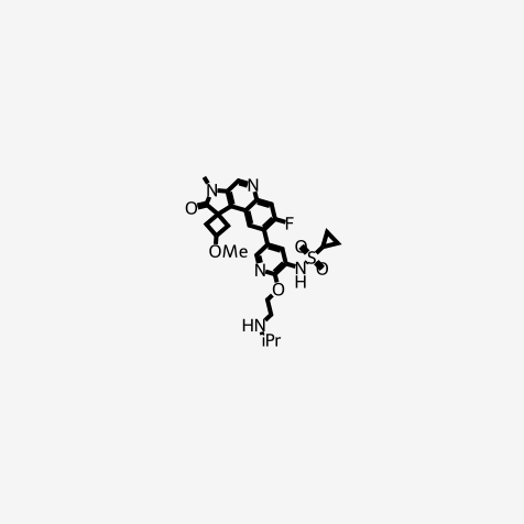 COC1CC2(C1)C(=O)N(C)c1cnc3cc(F)c(-c4cnc(OCCNC(C)C)c(NS(=O)(=O)C5CC5)c4)cc3c12